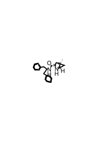 C[C@@]12C[C@@H](C(=O)NC(Cc3ccccc3)Cc3ccccc3)N[C@@H]1C2